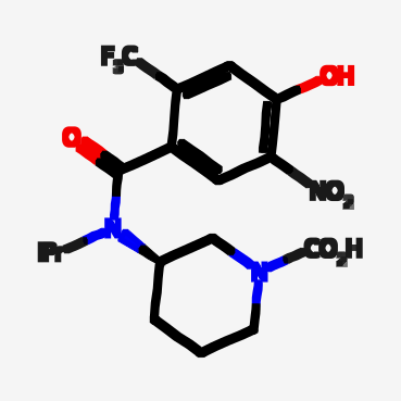 CC(C)N(C(=O)c1cc([N+](=O)[O-])c(O)cc1C(F)(F)F)[C@@H]1CCCN(C(=O)O)C1